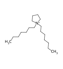 CCCCCCC[N+]1(CCCCCCC)CCCC1